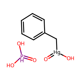 O=[PH](O)O.[O]=[Hg]([OH])[CH2]c1ccccc1